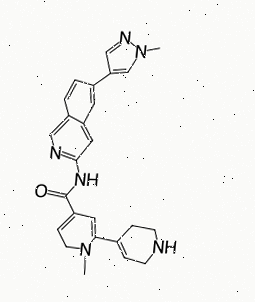 CN1CC=C(C(=O)Nc2cc3cc(-c4cnn(C)c4)ccc3cn2)C=C1C1=CCNCC1